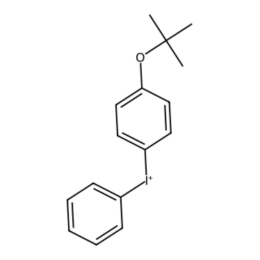 CC(C)(C)Oc1ccc([I+]c2ccccc2)cc1